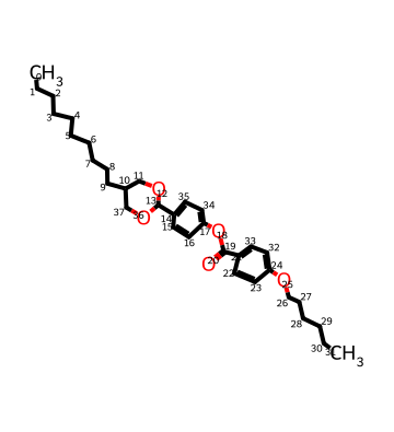 CCCCCCCCCCC1COC(c2ccc(OC(=O)c3ccc(OCCCCCC)cc3)cc2)OC1